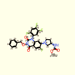 CC(C)(C)OC(=O)NC1CCN(c2cc3c(cc2F)c(=O)n(OCc2ccccc2)c(=O)n3-c2cc(F)c(F)cc2F)C1